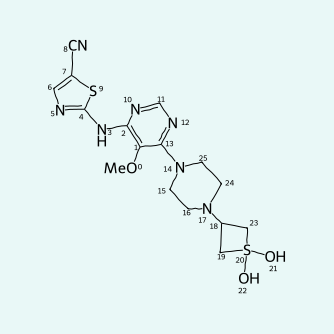 COc1c(Nc2ncc(C#N)s2)ncnc1N1CCN(C2CS(O)(O)C2)CC1